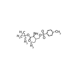 CCC(COS(=O)(=O)c1ccc(C)cc1)C(=N)C(=O)OC(C)(C)C